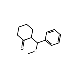 COC(c1ccccc1)C1CCCCC1=O